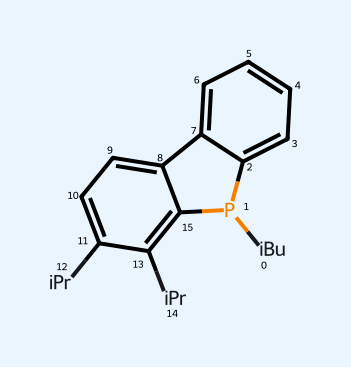 CCC(C)p1c2ccccc2c2ccc(C(C)C)c(C(C)C)c21